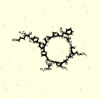 CNC(=O)C[C@@H]1NC(=O)c2csc(n2)-c2ccc(-c3nc(NC(=O)[C@H](C)CCCO)cs3)nc2-c2csc(n2)-c2csc(n2)[C@H]([C@@H](O)c2ccccc2)NC(=O)CNC(=O)c2nc(sc2COC)NC(=O)c2nc1sc2C